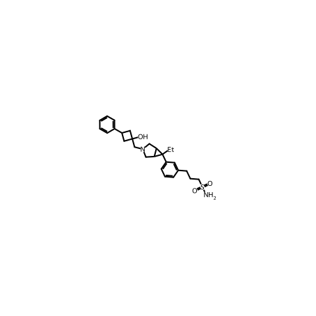 CCC1(c2cccc(CCCS(N)(=O)=O)c2)C2CN(CC3(O)CC(c4ccccc4)C3)CC21